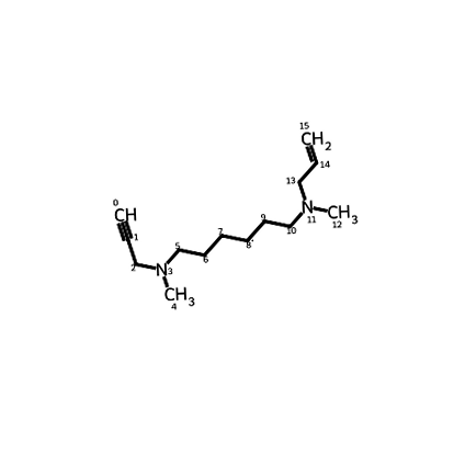 C#CCN(C)CCC[CH]CCN(C)CC=C